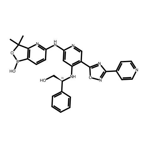 CC1(C)OB(O)c2ccc(Nc3cc(N[C@H](CO)c4ccccc4)c(-c4nc(-c5ccncc5)no4)cn3)nc21